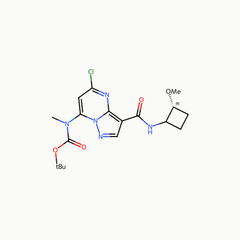 CO[C@@H]1CCC1NC(=O)c1cnn2c(N(C)C(=O)OC(C)(C)C)cc(Cl)nc12